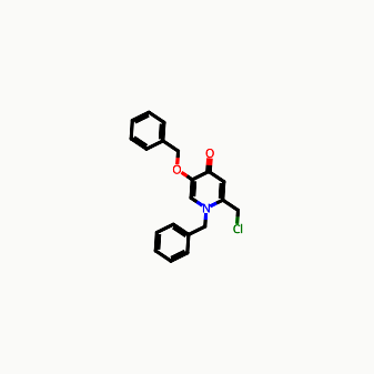 O=c1cc(CCl)n(Cc2ccccc2)cc1OCc1ccccc1